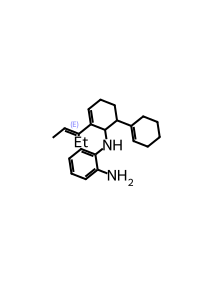 C/C=C(\CC)C1=CCCC(C2=CCCCC2)C1Nc1ccccc1N